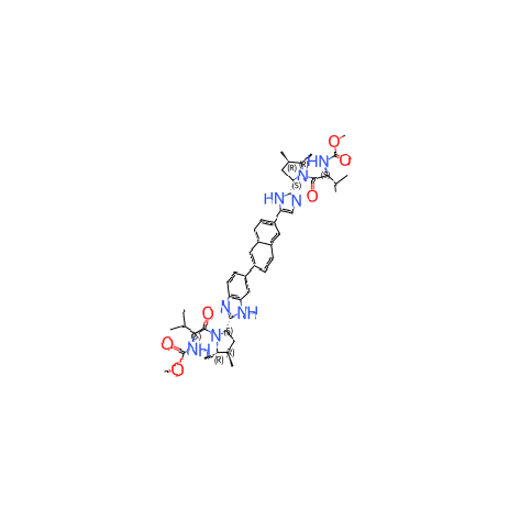 COC(=O)N[C@H](C(=O)N1[C@H](C)[C@H](C)C[C@H]1c1ncc(-c2ccc3cc(-c4ccc5nc([C@@H]6C[C@@H](C)[C@@H](C)N6C(=O)[C@@H](NC(=O)OC)C(C)C)[nH]c5c4)ccc3c2)[nH]1)C(C)C